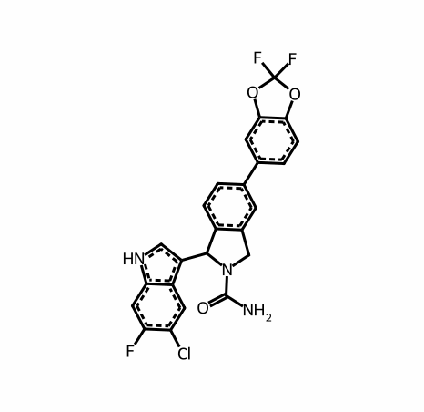 NC(=O)N1Cc2cc(-c3ccc4c(c3)OC(F)(F)O4)ccc2C1c1c[nH]c2cc(F)c(Cl)cc12